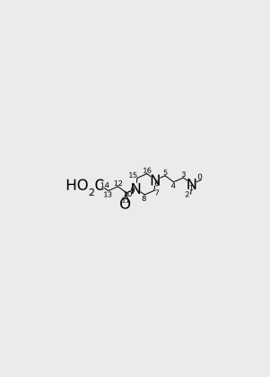 CN(C)CCCN1CCN(C(=O)CCC(=O)O)CC1